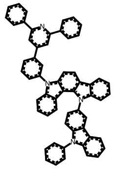 c1ccc(-c2cc(-c3cccc(-n4c5ccccc5c5c4ccc4c6ccccc6n(-c6ccc7c(c6)c6ccccc6n7-c6ccccc6)c45)c3)cc(-c3ccccc3)n2)cc1